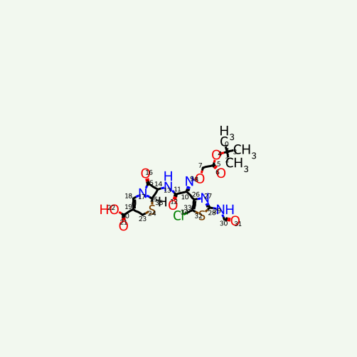 CC(C)(C)OC(=O)CON=C(C(=O)NC1C(=O)N2C=C(C(=O)O)CS[C@H]12)c1nc(NC=O)sc1Cl